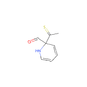 CC(=S)C1(C=O)C=CC=CN1